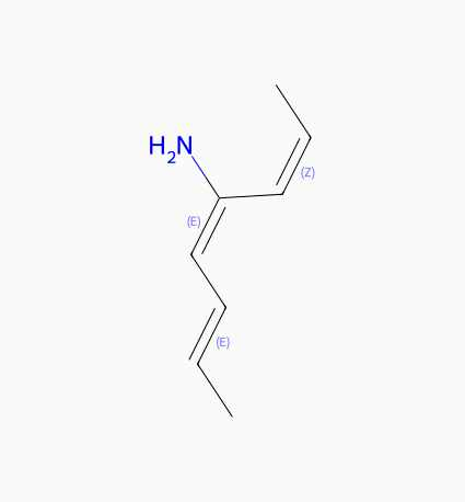 C\C=C/C(N)=C\C=C\C